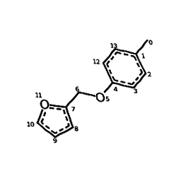 Cc1ccc(OCc2ccco2)cc1